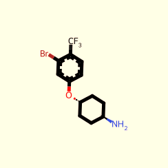 N[C@H]1CC[C@H](Oc2ccc(C(F)(F)F)c(Br)c2)CC1